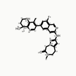 Cc1c(-c2cc(F)c3cnc(Nc4cc5n(n4)CC(=O)N(C)CC5)cc3c2)cnc2c1NCC[C@]2(C)O